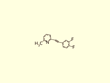 Cc1cccc(C#Cc2ccc(F)c(F)c2)n1